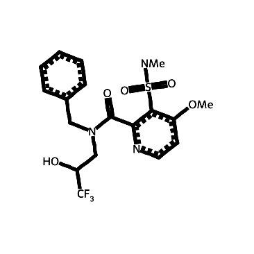 CNS(=O)(=O)c1c(OC)ccnc1C(=O)N(Cc1ccccc1)CC(O)C(F)(F)F